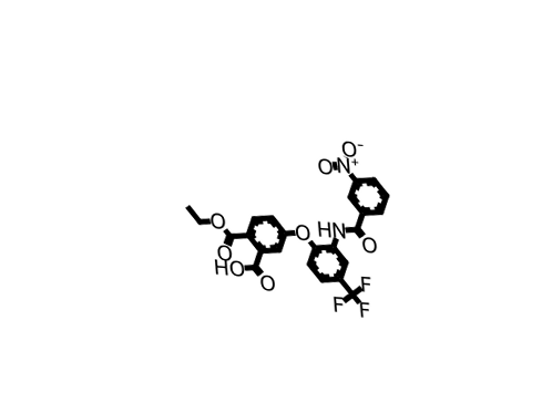 CCOC(=O)c1ccc(Oc2ccc(C(F)(F)F)cc2NC(=O)c2cccc([N+](=O)[O-])c2)cc1C(=O)O